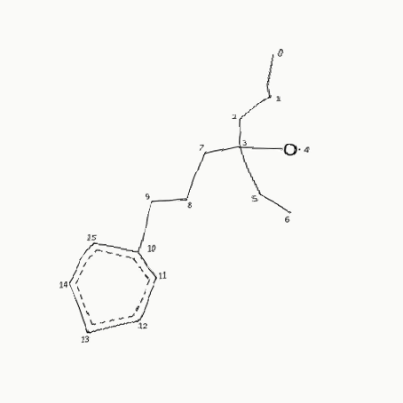 CCCC([O])(CC)CCCc1ccccc1